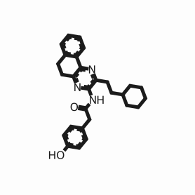 O=C(Cc1ccc(O)cc1)Nc1nc2c(nc1CCC1CCCCC1)-c1ccccc1CC2